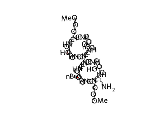 CCCCOc1c2cccc1C(=O)NCCN(CCN1CCNC(=O)c3cccc(c3O)C(=O)NC(CCCCN)CN(CCOCCOCCOC)CCNC(=O)c3cccc(c3OCCCC)C(=O)NCC1)CCNC(=O)c1cccc(c1O)C(=O)NCCN(CCOCCOCCOC)CCNC2=O